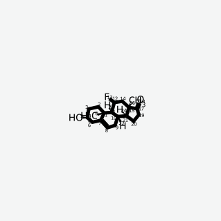 C[C@]12CC[C@H](O)CC1=CC[C@@H]1[C@@H]2C(F)C[C@]2(C)C(=O)CC[C@@H]12